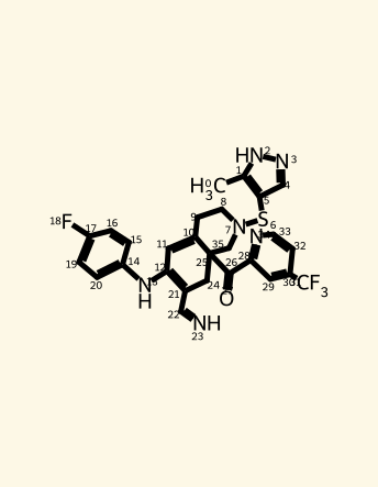 Cc1[nH]ncc1SN1CCC2=CC(Nc3ccc(F)cc3)=C(C=N)CC2(C(=O)c2cc(C(F)(F)F)ccn2)C1